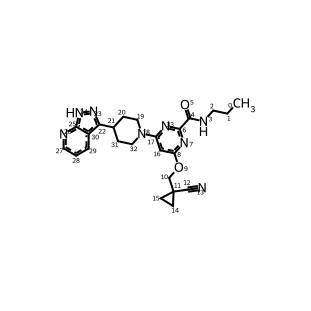 CCCNC(=O)c1nc(OCC2(C#N)CC2)cc(N2CCC(c3n[nH]c4ncccc34)CC2)n1